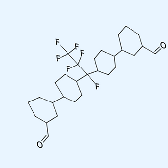 O=CC1CCCC(C2CCC(C(F)(C3CCC(C4CCCC(C=O)C4)CC3)C(F)(F)C(F)(F)F)CC2)C1